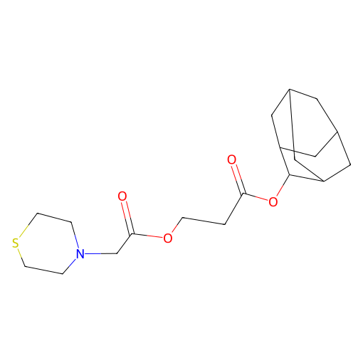 O=C(CN1CCSCC1)OCCC(=O)OC1C2CC3CC(C2)CC1C3